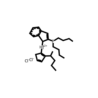 CCCCP(CCCC)C1=Cc2ccccc2[CH]1[Hf+2][C]1=C(C(C)CCC)C=CC1.[Cl-].[Cl-]